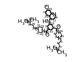 CN(C)CCCN1CCN(C(=O)c2cc(Nc3ccnc4cc(Cl)ccc34)cc(C(=O)N3CCN(CCCN(C)C)CC3)c2)CC1